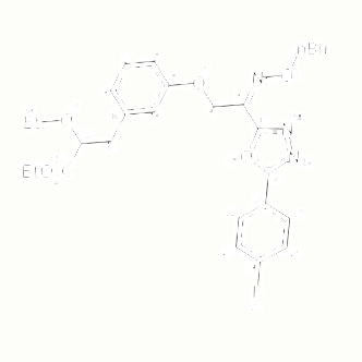 CCCCON=C(COc1cccc(CC(OCC)C(=O)OCC)c1)c1nnc(-c2ccc(F)cc2)o1